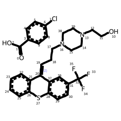 O=C(O)c1ccc(Cl)cc1.OCCN1CCN(CC/C=C2/c3ccccc3Sc3ccc(C(F)(F)F)cc32)CC1